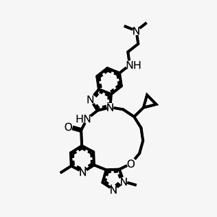 Cc1cc2cc(n1)-c1cnn(C)c1OCCCC(C1CC1)Cn1c(nc3ccc(NCCN(C)C)cc31)NC2=O